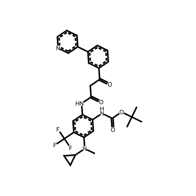 CN(c1cc(NC(=O)OC(C)(C)C)c(NC(=O)CC(=O)c2cccc(-c3cccnc3)c2)cc1C(F)(F)F)C1CC1